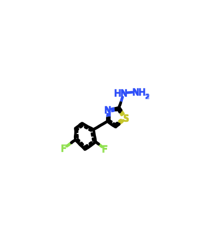 NNc1nc(-c2ccc(F)cc2F)cs1